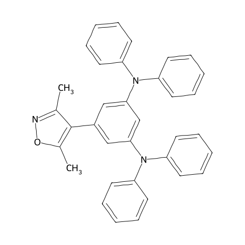 Cc1noc(C)c1-c1cc(N(c2ccccc2)c2ccccc2)cc(N(c2ccccc2)c2ccccc2)c1